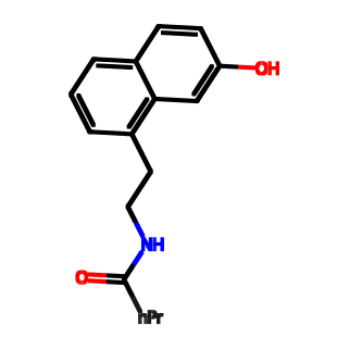 CCCC(=O)NCCc1cccc2ccc(O)cc12